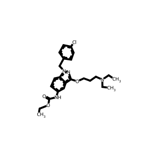 CCOC(=O)Nc1ccc2c(c1)c(OCCCN(CC)CC)nn2Cc1ccc(Cl)cc1